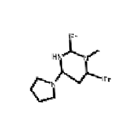 CC(C)C1CC(N2CCCC2)NC(C(C)C)N1C